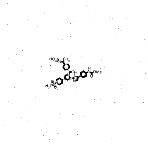 COC(=O)Nc1ccc(-c2cnc([C@@H]3C[C@H](C4CCN(S(C)(=O)=O)CC4)CN3C(=O)[C@H]3CC[C@H]([C@H](C)NC(=O)O)CC3)[nH]2)cc1